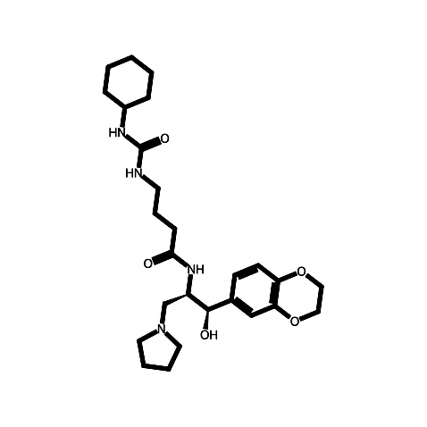 O=C(CCCNC(=O)NC1CCCCC1)N[C@H](CN1CCCC1)[C@H](O)c1ccc2c(c1)OCCO2